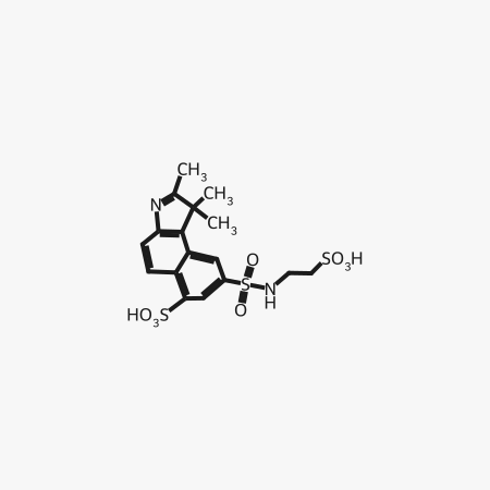 CC1=Nc2ccc3c(S(=O)(=O)O)cc(S(=O)(=O)NCCS(=O)(=O)O)cc3c2C1(C)C